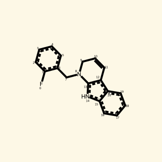 Fc1ccccc1CN1CC=Cc2c1[nH]c1ccccc21